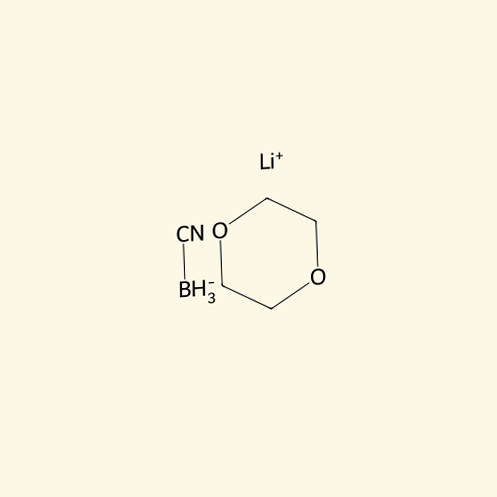 C1COCCO1.[BH3-]C#N.[Li+]